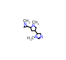 CN1C=NCC1C1CC(C2CN2C)N(C)C1